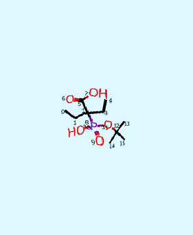 CCC(CC)(C(=O)O)P(=O)(O)OC(C)(C)C